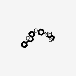 c1ccc(C2CCc3cc(O[C@H]4CC[C@H](NCc5cccs5)CC4)ccc3O2)cc1